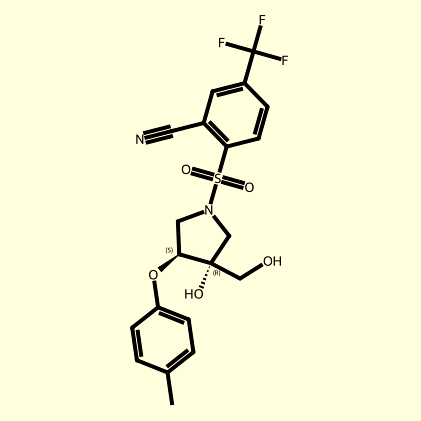 Cc1ccc(O[C@H]2CN(S(=O)(=O)c3ccc(C(F)(F)F)cc3C#N)C[C@@]2(O)CO)cc1